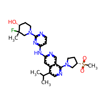 CC(C)c1cnc(N2CC[C@H](S(C)(=O)=O)C2)c2cnc(Nc3ccnc(N4CC[C@@H](O)[C@@](C)(F)C4)n3)cc12